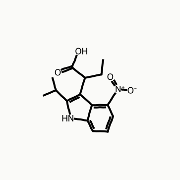 CCC(C(=O)O)c1c(C(C)C)[nH]c2cccc([N+](=O)[O-])c12